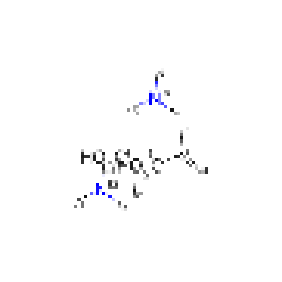 C=C(C)C(=O)O.C=CC(=O)O.CN(C)C.CN(C)C